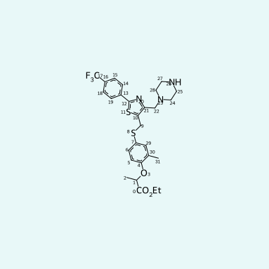 CCOC(=O)C(C)Oc1ccc(SCc2sc(-c3ccc(C(F)(F)F)cc3)nc2CN2CCNCC2)cc1C